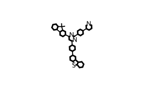 CC1(C)c2ccccc2-c2ccc(-c3cc(-c4ccc(-c5ccc6sc7ccccc7c6c5)cc4)nc(-c4ccc(-c5cccnc5)cc4)n3)cc21